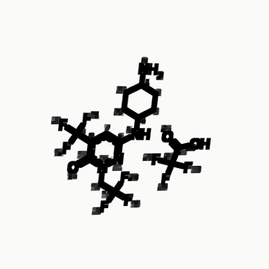 NC1CCC(Nc2cc(C(F)(F)F)c(=O)n(CC(F)(F)F)n2)CC1.O=C(O)C(F)(F)F